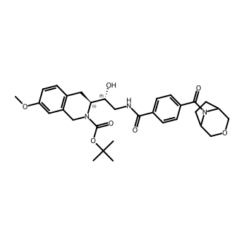 COc1ccc2c(c1)CN(C(=O)OC(C)(C)C)[C@H]([C@H](O)CNC(=O)c1ccc(C(=O)N3C4CCC3COC4)cc1)C2